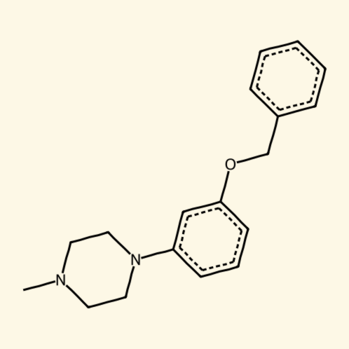 CN1CCN(c2cccc(OCc3ccccc3)c2)CC1